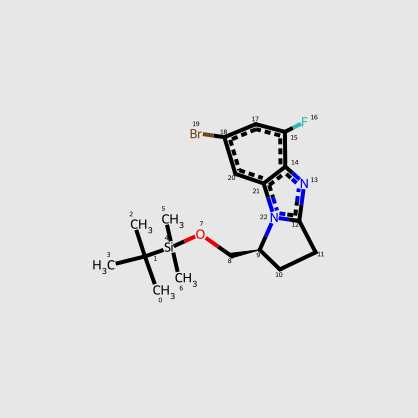 CC(C)(C)[Si](C)(C)OC[C@@H]1CCc2nc3c(F)cc(Br)cc3n21